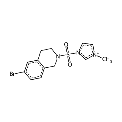 C[n+]1ccn(S(=O)(=O)N2CCc3cc(Br)ccc3C2)c1